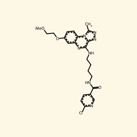 COCCOc1ccc2c(c1)nc(NCCCCNC(=O)c1ccc(Cl)nc1)c1nnc(C)n12